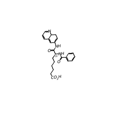 O=C(O)CCCCC[C@H](NC(=O)c1ccccc1)C(=O)NC1=CCC2N=CC=CC2=C1